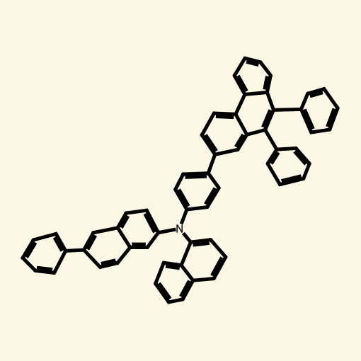 c1ccc(-c2ccc3cc(N(c4ccc(-c5ccc6c(c5)c(-c5ccccc5)c(-c5ccccc5)c5ccccc56)cc4)c4cccc5ccccc45)ccc3c2)cc1